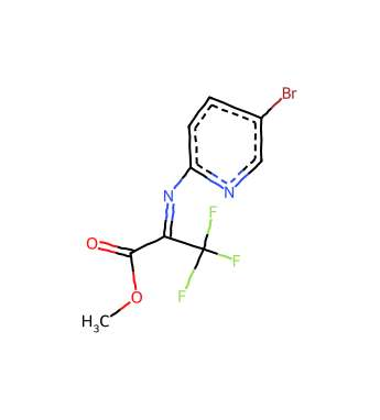 COC(=O)/C(=N/c1ccc(Br)cn1)C(F)(F)F